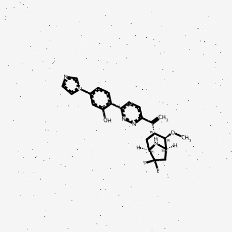 C=C(c1ccc(-c2ccc(-n3ccnc3)cc2O)nn1)[C@H]1C[C@H]2N[C@H](CC2(F)F)[C@@H]1OC